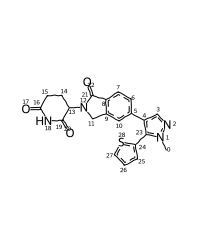 Cn1ncc(-c2ccc3c(c2)CN(C2CCC(=O)NC2=O)C3=O)c1-c1cccs1